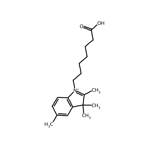 CC1=[N+](CCCCCCC(=O)O)c2ccc(C)cc2C1(C)C